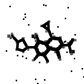 Cc1c(F)c(N2CCC(N)C2)c(N)c2c1c(=O)c(C(=O)O)cn2C1CC1